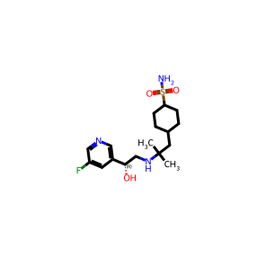 CC(C)(CC1CCC(S(N)(=O)=O)CC1)NC[C@H](O)c1cncc(F)c1